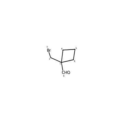 O=CC1(CBr)CCC1